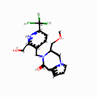 COCC1Cn2cccc2C(=O)N1Cc1ccc(C(F)(F)F)nc1CO